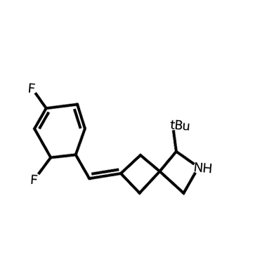 CC(C)(C)C1NCC12CC(=CC1C=CC(F)=CC1F)C2